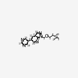 C[Si](C)(C)CCOCn1ncc2cc(-c3cncnc3)cnc21